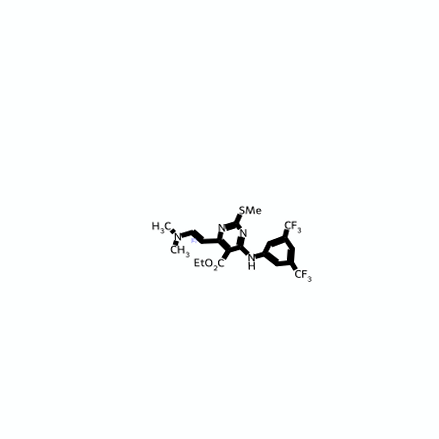 CCOC(=O)c1c(/C=C/N(C)C)nc(SC)nc1Nc1cc(C(F)(F)F)cc(C(F)(F)F)c1